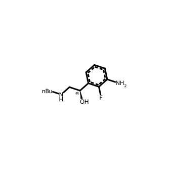 CCCCNC[C@H](O)c1cccc(N)c1F